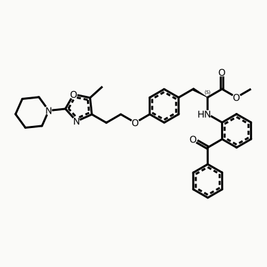 COC(=O)[C@H](Cc1ccc(OCCc2nc(N3CCCCC3)oc2C)cc1)Nc1ccccc1C(=O)c1ccccc1